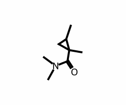 CC1CC1(C)C(=O)N(C)C